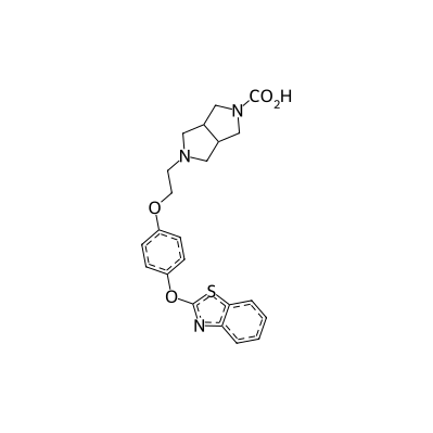 O=C(O)N1CC2CN(CCOc3ccc(Oc4nc5ccccc5s4)cc3)CC2C1